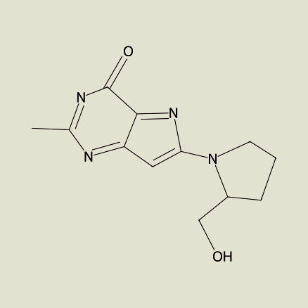 CC1=NC(=O)C2=NC(N3CCCC3CO)=CC2=N1